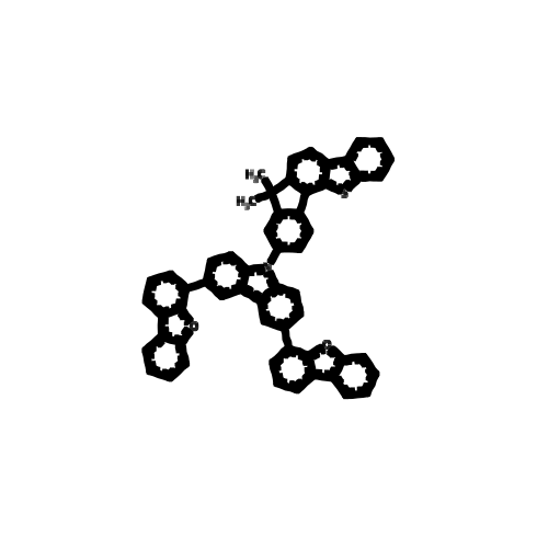 CC1(C)c2cc(-n3c4ccc(-c5cccc6c5oc5ccccc56)cc4c4cc(-c5cccc6c5oc5ccccc56)ccc43)ccc2-c2c1ccc1c2sc2ccccc21